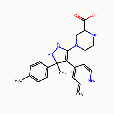 C=C/C=C(\C=C/N)C1=C(N2CCNC(C(=O)O)C2)NNC1(C)c1ccc(C)cc1